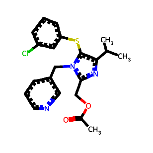 CC(=O)OCc1nc(C(C)C)c(Sc2cccc(Cl)c2)n1Cc1cccnc1